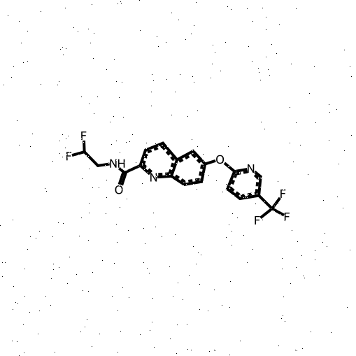 O=C(NCC(F)F)c1ccc2cc(Oc3ccc(C(F)(F)F)cn3)ccc2n1